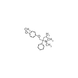 CCC(COc1ccc(OC)cc1)(c1ccccc1)N(C)C